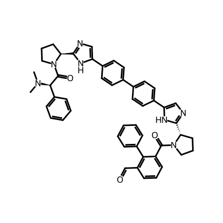 CN(C)[C@@H](C(=O)N1CCC[C@H]1c1ncc(-c2ccc(-c3ccc(-c4cnc([C@@H]5CCCN5C(=O)c5cccc(C=O)c5-c5ccccc5)[nH]4)cc3)cc2)[nH]1)c1ccccc1